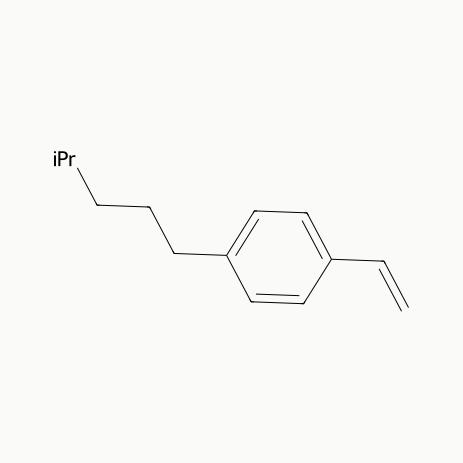 C=Cc1ccc(CCCC(C)C)cc1